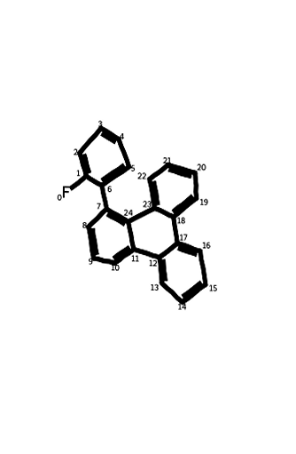 Fc1ccccc1-c1cccc2c3ccccc3c3ccccc3c12